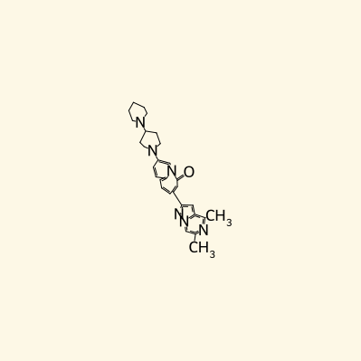 Cc1cn2nc(C3=C\C(=O)N4C=C(N5CCC(N6CCCCC6)CC5)C=C\C4=C/C=C/3)cc2c(C)n1